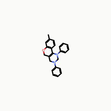 Cc1ccc2c(c1)OCC1=C2N(c2ccccc2)CN(c2ccccc2)C1